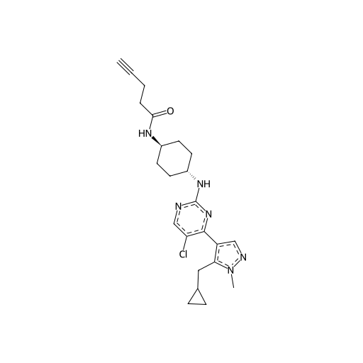 C#CCCC(=O)N[C@H]1CC[C@H](Nc2ncc(Cl)c(-c3cnn(C)c3CC3CC3)n2)CC1